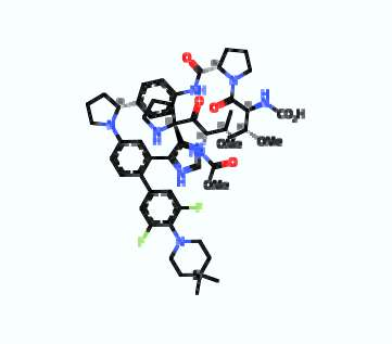 COC(=O)N[C@H](C(=O)[C@@]1(c2nc[nH]c2-c2cc(N3CCC[C@@H]3c3ccc(NC(=O)[C@@H]4CCCN4C(=O)[C@@H](NC(=O)O)[C@@H](C)OC)cc3)ccc2-c2cc(F)c(N3CC[Si](C)(C)CC3)c(F)c2)CCCN1)[C@H](C)OC